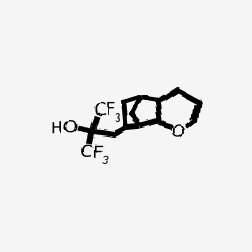 OC(CC1CC2CC1C1OC=CCC21)(C(F)(F)F)C(F)(F)F